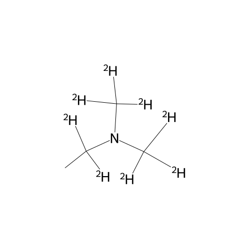 [2H]C([2H])([2H])N(C([2H])([2H])[2H])C([2H])([2H])C